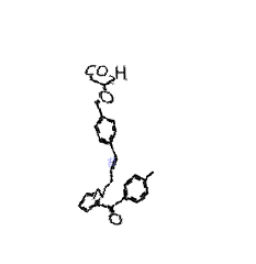 Cc1ccc(C(=O)c2cccn2C/C=C/c2ccc(COC(C)CC(=O)O)cc2)cc1